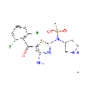 CS(=O)(=O)N(c1nc(N)c(C(=O)c2c(F)cccc2F)s1)C1CCNC1